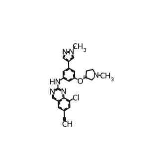 C#Cc1cc(Cl)c2nc(Nc3cc(O[C@@H]4CCN(C)C4)cc(-c4cnn(C)c4)c3)ncc2c1